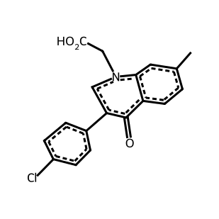 Cc1ccc2c(=O)c(-c3ccc(Cl)cc3)cn(CC(=O)O)c2c1